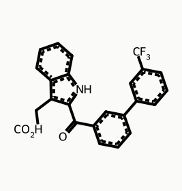 O=C(O)Cc1c(C(=O)c2cccc(-c3cccc(C(F)(F)F)c3)c2)[nH]c2ccccc12